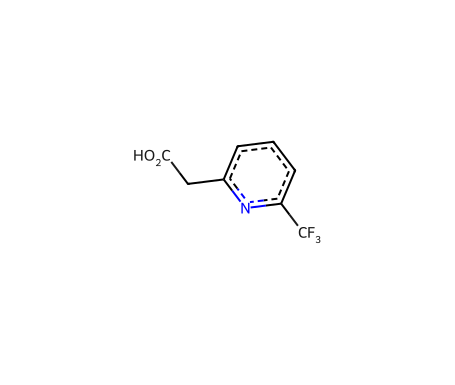 O=C(O)Cc1cccc(C(F)(F)F)n1